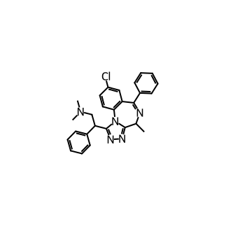 CC1N=C(c2ccccc2)c2cc(Cl)ccc2-n2c1nnc2C(CN(C)C)c1ccccc1